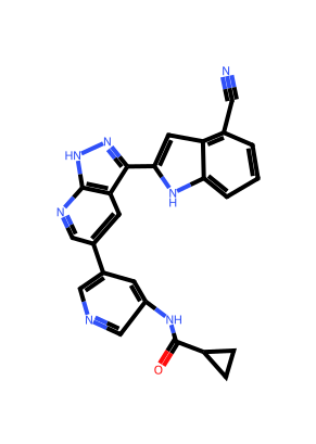 N#Cc1cccc2[nH]c(-c3n[nH]c4ncc(-c5cncc(NC(=O)C6CC6)c5)cc34)cc12